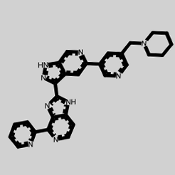 c1ccc(-c2nccc3[nH]c(-c4n[nH]c5cnc(-c6cncc(CN7CCCCC7)c6)cc45)nc23)nc1